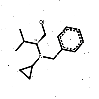 CC(C)[C@@H](CO)N(Cc1ccccc1)C1CC1